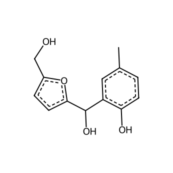 Cc1ccc(O)c(C(O)c2ccc(CO)o2)c1